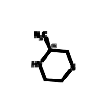 C[C@H]1CSCCN1